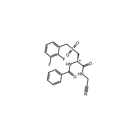 N#CCNC(=O)[C@H](CS(=O)(=O)Cc1cccc(F)c1F)NC(=O)c1ccccc1